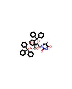 O=c1[nH]c(=O)n([C@@H]2O[C@H](COC(c3ccccc3)(c3ccccc3)c3ccccc3)[C@@H](O)[C@H]2OC(c2ccccc2)(c2ccccc2)c2ccccc2)cc1I